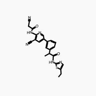 CCc1cnc(NC(=O)C(C)c2cccc(-c3cnc(NC(=O)CC#N)c(C#N)c3)c2)s1